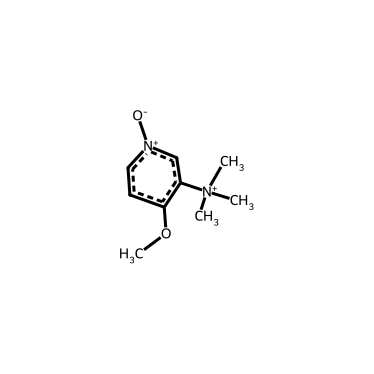 COc1cc[n+]([O-])cc1[N+](C)(C)C